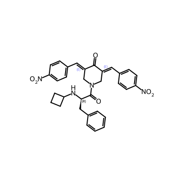 O=C1/C(=C/c2ccc([N+](=O)[O-])cc2)CN(C(=O)[C@@H](Cc2ccccc2)NC2CCC2)C/C1=C\c1ccc([N+](=O)[O-])cc1